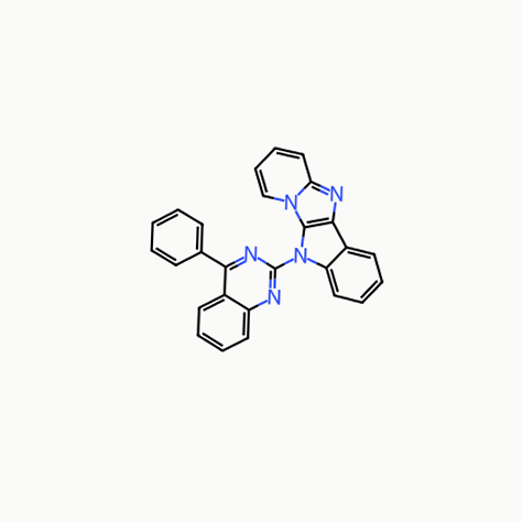 c1ccc(-c2nc(-n3c4ccccc4c4nc5ccccn5c43)nc3ccccc23)cc1